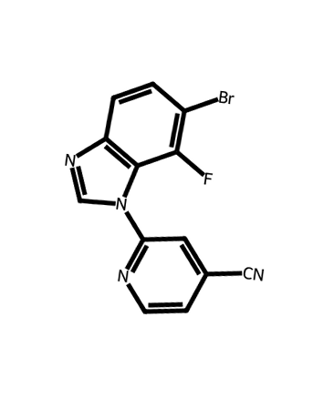 N#Cc1ccnc(-n2cnc3ccc(Br)c(F)c32)c1